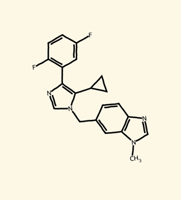 Cn1cnc2ccc(Cn3cnc(-c4cc(F)ccc4F)c3C3CC3)cc21